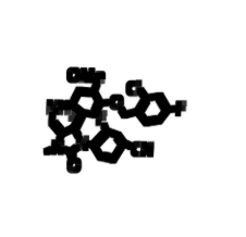 C=c1cc(OC)c(OCc2ccc(F)cc2Cl)c/c1=c1/c(=C\N)n(C)c(=O)n1-c1ccc(C#N)cc1F